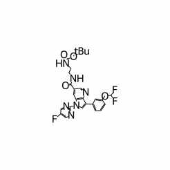 CC(C)(C)OC(=O)NCCNC(=O)c1cnc2c(-c3cccc(OC(F)F)c3)cn(-c3ncc(F)cn3)c2c1